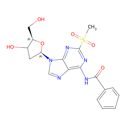 CS(=O)(=O)c1nc(NC(=O)c2ccccc2)c2ncn([C@H]3CC(O)[C@@H](CO)O3)c2n1